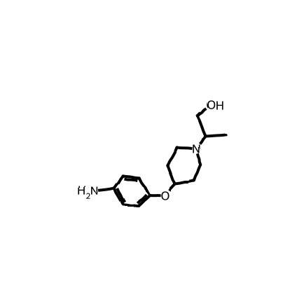 CC(CO)N1CCC(Oc2ccc(N)cc2)CC1